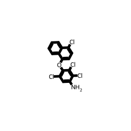 Nc1cc(Cl)c(Oc2ccc(Cl)c3ccccc23)c(Cl)c1Cl